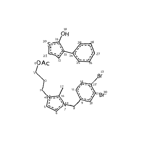 CC(=O)OCCCn1cc[n+](Cc2ccc(Br)cc2)c1C.Oc1sccc1-c1ccccc1.[Br-]